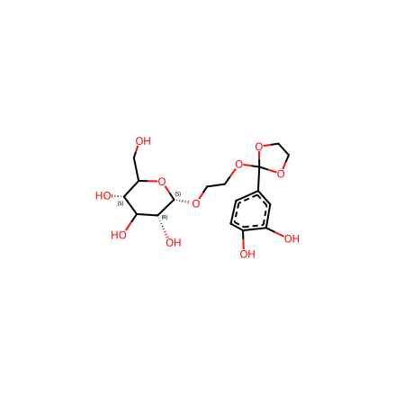 OCC1O[C@H](OCCOC2(c3ccc(O)c(O)c3)OCCO2)[C@H](O)C(O)[C@@H]1O